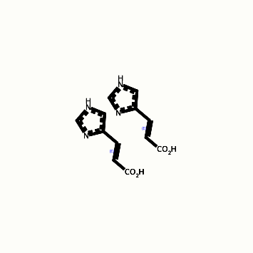 O=C(O)/C=C/c1c[nH]cn1.O=C(O)/C=C/c1c[nH]cn1